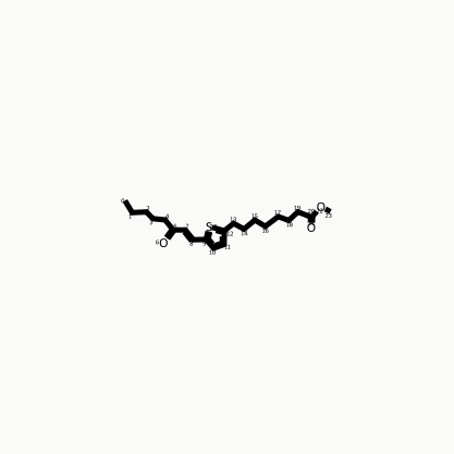 CCCCCC(=O)C=Cc1ccc(CCCCCCCC(=O)OC)s1